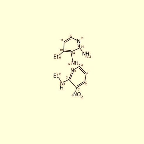 CCNc1ncccc1[N+](=O)[O-].CCc1ccnc(N)c1N